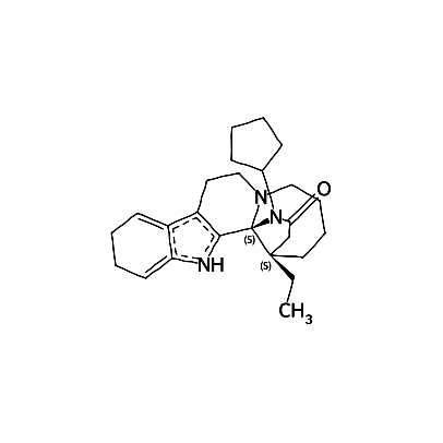 CC[C@@]12CCCCN3CCc4c([nH]c5c4=CCCC=5)[C@]31N(C1CCCC1)C(=O)C2